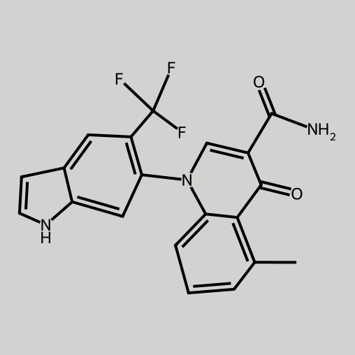 Cc1cccc2c1c(=O)c(C(N)=O)cn2-c1cc2[nH]ccc2cc1C(F)(F)F